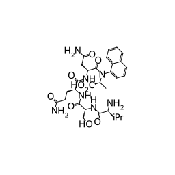 CC(C)[C@H](N)C(=O)N[C@@H](CO)C(=O)N[C@@H](CCC(N)=O)C(=O)N[C@@H](CC(N)=O)C(=O)N(c1cccc2ccccc12)[C@@H](C)C(=O)O